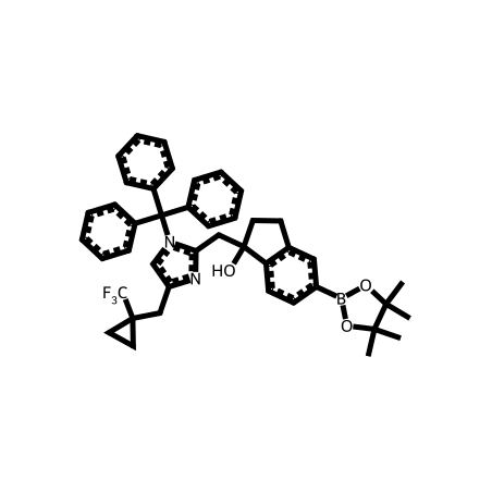 CC1(C)OB(c2ccc3c(c2)CCC3(O)Cc2nc(CC3(C(F)(F)F)CC3)cn2C(c2ccccc2)(c2ccccc2)c2ccccc2)OC1(C)C